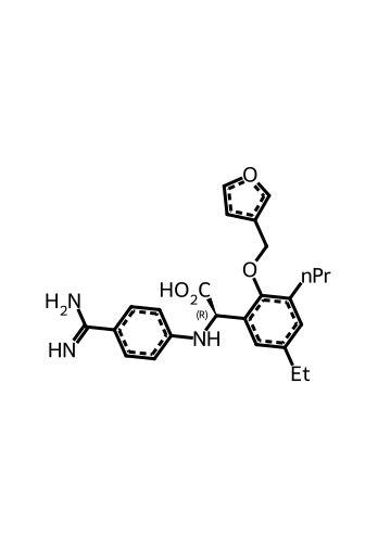 CCCc1cc(CC)cc([C@@H](Nc2ccc(C(=N)N)cc2)C(=O)O)c1OCc1ccoc1